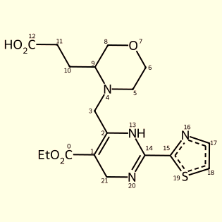 CCOC(=O)C1=C(CN2CCOCC2CCC(=O)O)NC(c2nccs2)=NC1